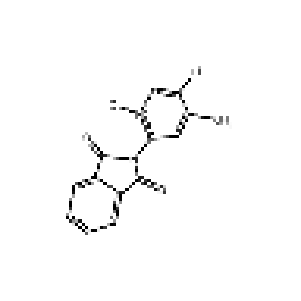 Cc1cc(N2C(=O)c3ccccc3C2=O)[n+]([O-])cc1Cl